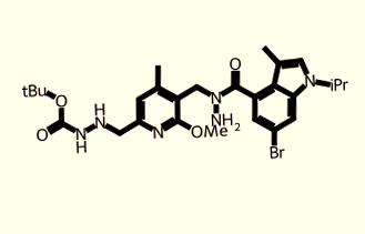 COc1nc(CNNC(=O)OC(C)(C)C)cc(C)c1CN(N)C(=O)c1cc(Br)cc2c1c(C)cn2C(C)C